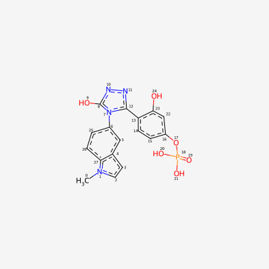 Cn1ccc2cc(-n3c(O)nnc3-c3ccc(OP(=O)(O)O)cc3O)ccc21